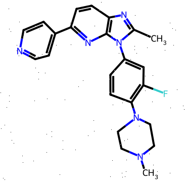 Cc1nc2ccc(-c3ccncc3)nc2n1-c1ccc(N2CCN(C)CC2)c(F)c1